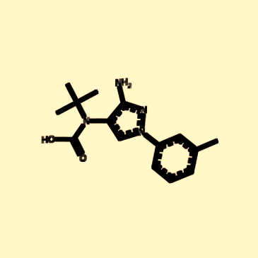 Cc1cccc(-n2cc(N(C(=O)O)C(C)(C)C)c(N)n2)c1